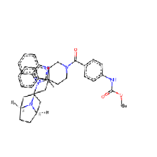 Cc1nc2ccccc2n1C1C[C@H]2CC[C@@H](C1)N2CCC1(c2ccccc2)CCN(C(=O)c2ccc(NC(=O)OC(C)(C)C)cc2)CC1